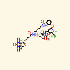 CC(C)(C)N(Cc1cc(Oc2cccc(C(=O)NCCCCCNC(=O)CCCC[C@@H]3SC[C@@H]4NC(=O)N[C@@H]43)c2)nc(C(F)(F)F)c1)C(=O)O